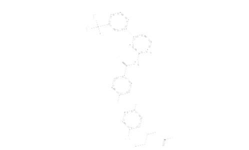 O=C(O)OC1CCOc2cc(Oc3ccc(C(=O)Nc4nccc(-c5cccc(C(F)(F)F)c5)n4)cc3)c(Cl)cc21